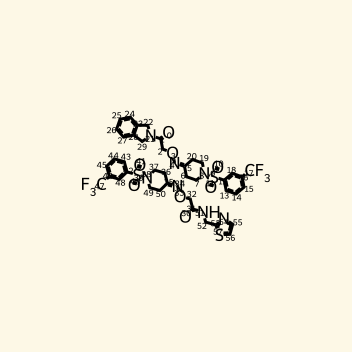 O=C(CON=C1CCN(S(=O)(=O)c2cccc(C(F)(F)F)c2)CC1)N1Cc2ccccc2C1.O=C(CON=C1CCN(S(=O)(=O)c2cccc(C(F)(F)F)c2)CC1)NCc1nccs1